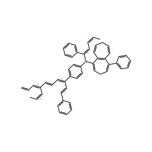 C=C/C=C(\C=C/C)/C=C/C=C(\C=C\c1ccccc1)c1ccc(N(C2=CCC=C(c3ccccc3)C3=C2C=CCC=C3)/C(=C/C=C\C)c2ccccc2)cc1